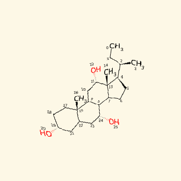 CC[C@@H](C)[C@H]1CCC2C3C(C[C@H](O)[C@@]21C)[C@@]1(C)CC[C@@H](O)CC1C[C@H]3O